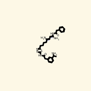 CC(N)c1cccc(CC(=O)Nc2nnc(CCCC/C(N)=C/C=C(\N)NC(=O)Cc3ccccc3)s2)c1